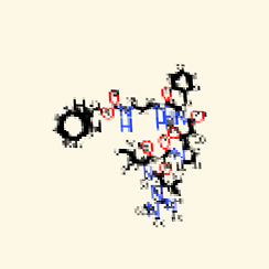 CC[C@H](C)[C@@H]([C@@H](CC(=O)N1CCC[C@H]1[C@H](OC)[C@@H](C)C(=O)N[C@@H](Cc1ccccc1)C(=O)NCCCNC(=O)OC[C@@H]1[C@@H]2CCC#CCC[C@@H]21)OC)N(C)C(=O)[C@@H](N=C(N(C)C)N(C)C)C(C)C